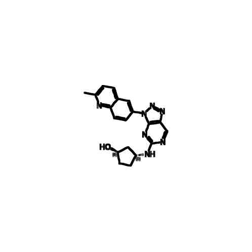 Cc1ccc2cc(-n3nnc4cnc(N[C@@H]5CC[C@@H](O)C5)nc43)ccc2n1